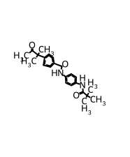 CC(=O)C(C)(C)c1ccc(C(=O)Nc2ccc(NC(=O)C(C)(C)C)cc2)cc1